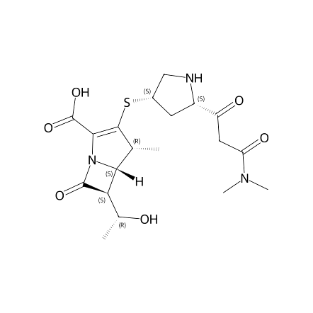 C[C@@H](O)[C@H]1C(=O)N2C(C(=O)O)=C(S[C@@H]3CN[C@H](C(=O)CC(=O)N(C)C)C3)[C@H](C)[C@H]12